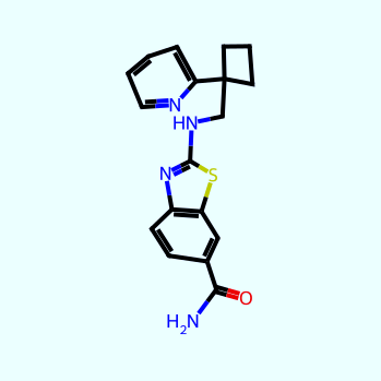 NC(=O)c1ccc2nc(NCC3(c4ccccn4)CCC3)sc2c1